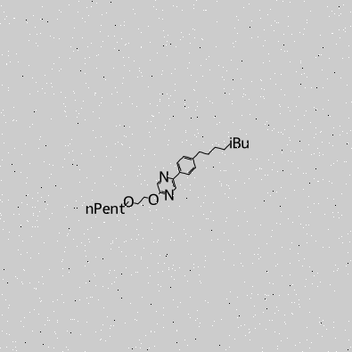 CCCCCOCCOc1cnc(-c2ccc(CCCCC(C)CC)cc2)cn1